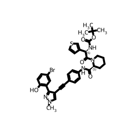 Cn1cc(C#Cc2ccc(NC(=O)[C@@H]3CCCCN3C(=O)[C@@H](NC(=O)OC(C)(C)C)c3ccsc3)cc2)c(-c2cc(Br)ccc2O)n1